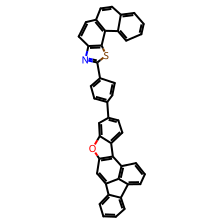 c1ccc2c(c1)-c1cccc3c1c-2cc1oc2cc(-c4ccc(-c5nc6ccc7ccc8ccccc8c7c6s5)cc4)ccc2c13